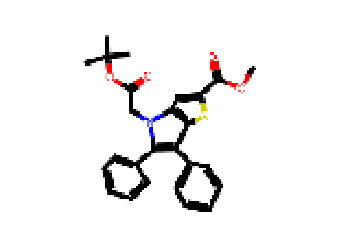 COC(=O)c1cc2c(s1)c(-c1ccccc1)c(-c1ccccc1)n2CC(=O)OC(C)(C)C